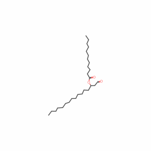 CCCCCCCCCCCCCC(C[C]=O)OC(=O)CCCCCCCCCCC